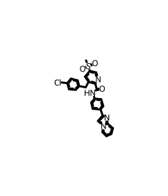 CS(=O)(=O)c1cnc(C(=O)Nc2ccc(-c3cn4ccccc4n3)cc2)c(Cc2ccc(Cl)cc2)c1